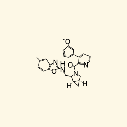 COc1cccc(-c2cccnc2C(=O)N2C[C@H]3C[C@H]3[C@H]2CNc2nc3cc(C)ccc3o2)c1